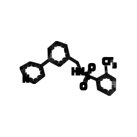 O=S(=O)(NCc1cccc(-c2ccncc2)c1)c1ccccc1C(F)(F)F